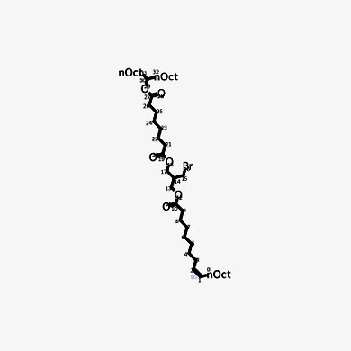 CCCCCCCC/C=C\CCCCCCCC(=O)OCC(CBr)COC(=O)CCCCCCC(=O)OC(CCCCCCCC)CCCCCCCC